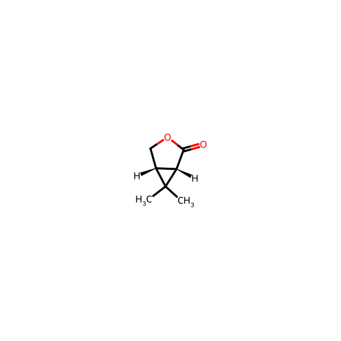 CC1(C)[C@@H]2COC(=O)[C@@H]21